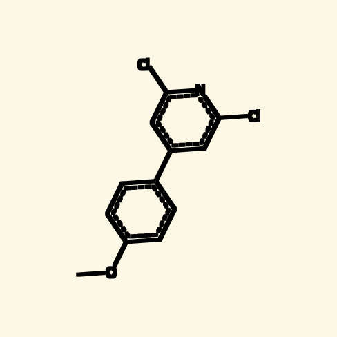 COc1ccc(-c2cc(Cl)nc(Cl)c2)cc1